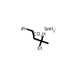 CCC(C)(CCC(C)C)C(=O)O.[SnH2]